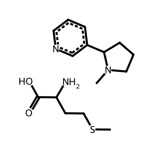 CN1CCCC1c1cccnc1.CSCCC(N)C(=O)O